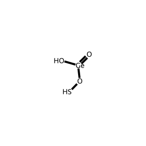 [O]=[Ge]([OH])[O]S